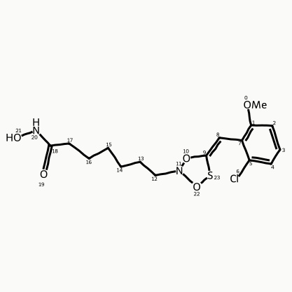 COc1cccc(Cl)c1/C=C1/ON(CCCCCCC(=O)NO)OS1